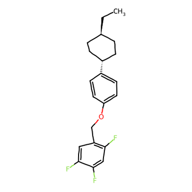 CC[C@H]1CC[C@H](c2ccc(OCc3cc(F)c(F)cc3F)cc2)CC1